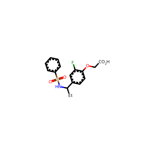 CCC(NS(=O)(=O)c1ccccc1)c1ccc(OCC(=O)O)c(F)c1